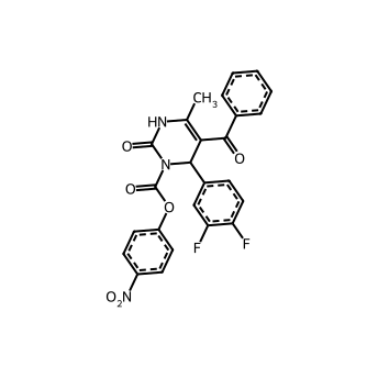 CC1=C(C(=O)c2ccccc2)C(c2ccc(F)c(F)c2)N(C(=O)Oc2ccc([N+](=O)[O-])cc2)C(=O)N1